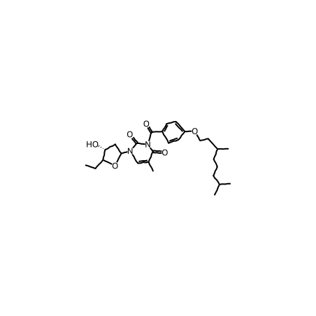 CCC1OC(n2cc(C)c(=O)n(C(=O)c3ccc(OCCC(C)CCCC(C)C)cc3)c2=O)C[C@H]1O